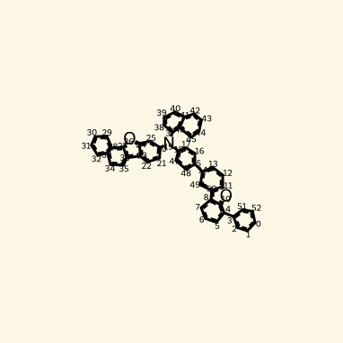 c1ccc(-c2cccc3c2oc2ccc(-c4ccc(N(c5ccc6c(c5)oc5c7ccccc7ccc65)c5cccc6ccccc56)cc4)cc23)cc1